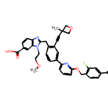 COCCn1c(Cc2ccc(-c3cccc(OCc4ccc(C#N)cc4F)n3)cc2C#CC2(C)COC2)nc2ccc(C(=O)O)cc21